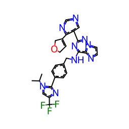 CC(C)n1cc(C(F)(F)F)nc1-c1ccc(CNc2nc(-c3cncnc3C3=CCOC3)nn3ccnc23)cc1